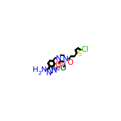 COC[C@@H]1C(=O)N(Cc2ccc3c(N)ncnc3c2)CCN1C(=O)C=Cc1ccc(Cl)s1